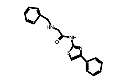 O=C(CNCc1ccccc1)Nc1nc(-c2ccccc2)cs1